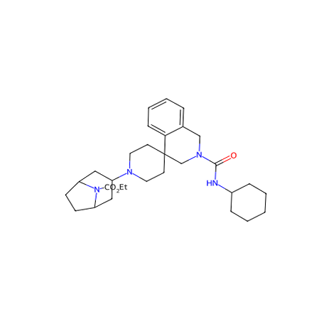 CCOC(=O)N1C2CCC1CC(N1CCC3(CC1)CN(C(=O)NC1CCCCC1)Cc1ccccc13)C2